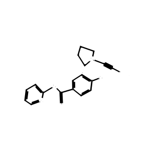 CC#CN1CCC[C@H]1c1cc(C(=O)Nc2ccccn2)ccc1N